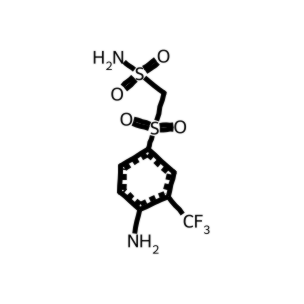 Nc1ccc(S(=O)(=O)CS(N)(=O)=O)cc1C(F)(F)F